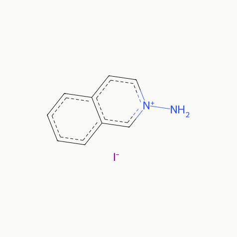 N[n+]1ccc2ccccc2c1.[I-]